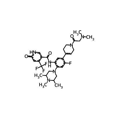 CC1CN(c2cc(F)c(C3=CCN(C(=O)CN(C)C)CC3)cc2NC(=O)c2c[nH]c(=O)cc2C(F)(F)F)CC(C)N1C